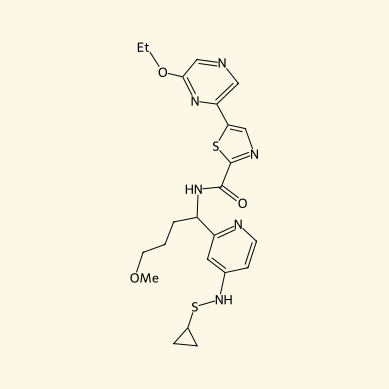 CCOc1cncc(-c2cnc(C(=O)NC(CCCOC)c3cc(NSC4CC4)ccn3)s2)n1